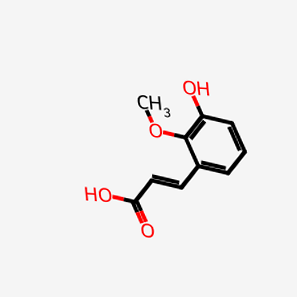 COc1c(O)cccc1C=CC(=O)O